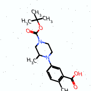 Cc1ccc(N2CCN(C(=O)OC(C)(C)C)CC2C)cc1C(=O)O